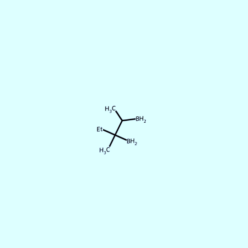 BC(C)C(B)(C)CC